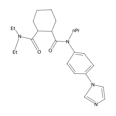 CCCN(C(=O)C1CCCCC1C(=O)N(CC)CC)c1ccc(-n2ccnc2)cc1